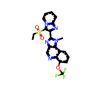 CCS(=O)(=O)c1c(-c2nc3cnc4c(OC(F)(F)F)cccc4c3n2C)nc2ccccn12